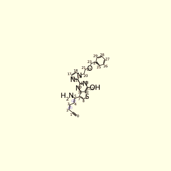 C#C/C=C\C=C(/N)c1csc2c(O)nc(-c3nccn3CCOCc3ccccc3)nc12